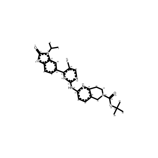 CC(C)n1c(=O)oc2ccc(-c3nc(Nc4ccc5c(n4)CCN(C(=O)OC(C)(C)C)C5)ncc3F)cc21